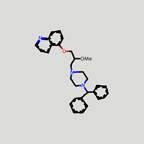 COC(COc1cccc2ncccc12)CN1CCN(C(c2ccccc2)c2ccccc2)CC1